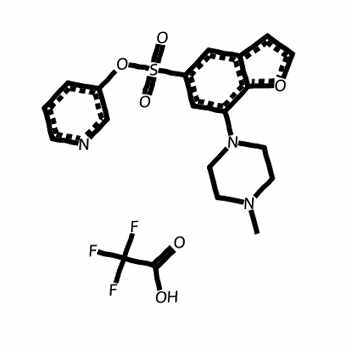 CN1CCN(c2cc(S(=O)(=O)Oc3cccnc3)cc3ccoc23)CC1.O=C(O)C(F)(F)F